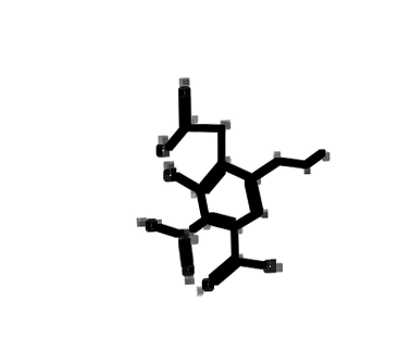 CCCc1cc(C(=O)Cl)c([N+](=O)[O-])c(Cl)c1CC(=O)Cl